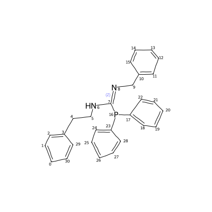 c1ccc(CCN/C(=N/Cc2ccccc2)P(c2ccccc2)c2ccccc2)cc1